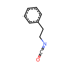 O=C=NCCc1c[c]ccc1